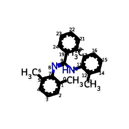 Cc1cccc(C)c1N=C(Nc1c(C)cccc1C)c1ccccc1